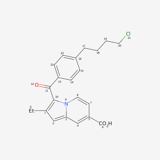 CCc1cc2cc(C(=O)O)ccn2c1C(=O)c1ccc(CCCCCl)cc1